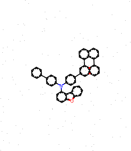 c1ccc(-c2ccc(N(c3ccc(-c4cccc(-c5cccc6cccc(-c7ccccc7)c56)c4)cc3)c3cccc4oc5ccccc5c34)cc2)cc1